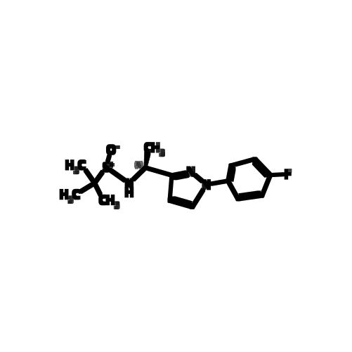 C[C@H](N[S+]([O-])C(C)(C)C)c1ccn(-c2ccc(F)cc2)n1